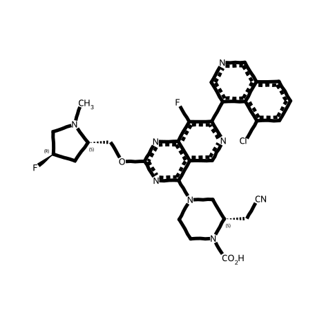 CN1C[C@H](F)C[C@H]1COc1nc(N2CCN(C(=O)O)[C@@H](CC#N)C2)c2cnc(-c3cncc4cccc(Cl)c34)c(F)c2n1